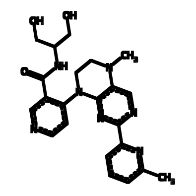 Cc1cccc(-c2ncc3c(n2)N(c2ccncc2C(=O)NC(CO)CO)CCN3C)n1